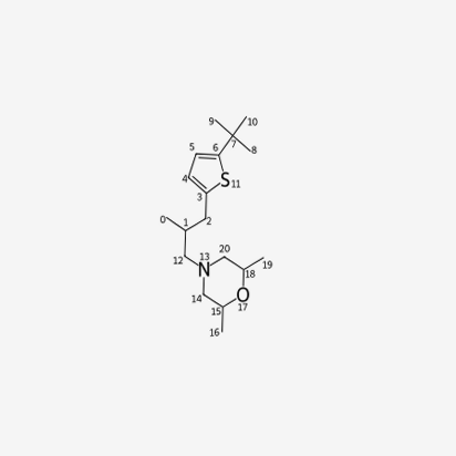 CC(Cc1ccc(C(C)(C)C)s1)CN1CC(C)OC(C)C1